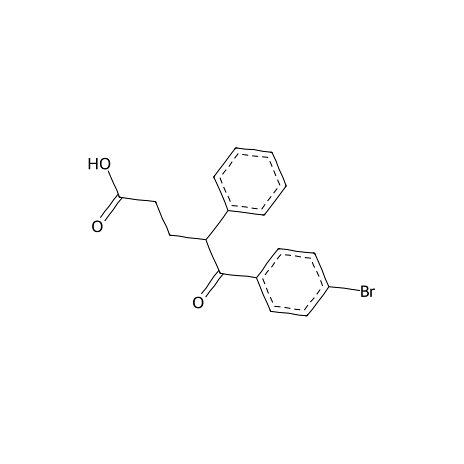 O=C(O)CCC(C(=O)c1ccc(Br)cc1)c1ccccc1